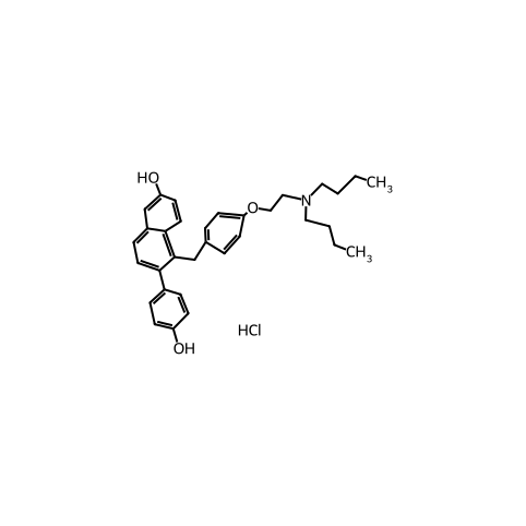 CCCCN(CCCC)CCOc1ccc(Cc2c(-c3ccc(O)cc3)ccc3cc(O)ccc23)cc1.Cl